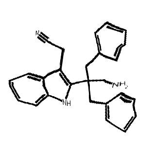 N#CCc1c(C(CN)(Cc2ccccc2)Cc2ccccc2)[nH]c2ccccc12